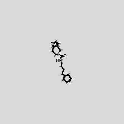 O=C(NCCCCc1ccccc1)N1CCc2occc2C1